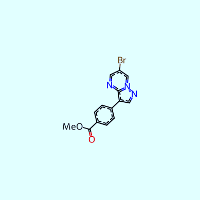 COC(=O)c1ccc(-c2cnn3cc(Br)cnc23)cc1